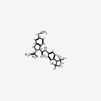 C=C(Nc1ccc(C(C(F)(F)F)C(F)(F)F)cc1)C1c2ccc(SC)cc2CN1C(=C)N